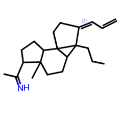 C=C/C=C1/CCC23C4CCC(C(C)=N)C4(C)CCC2C13CCC